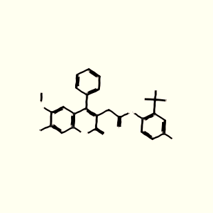 COc1cc2c(-c3ccccc3)c(CC(=O)Nc3ccc(Cl)cc3C(F)(F)F)c(=O)oc2cc1Cl